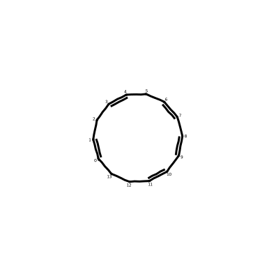 [C]1=CCC=CCC=CC=CC=CCC1